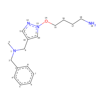 CN(Cc1ccccc1)Cc1cnn(OCCCCN)c1